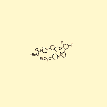 CCOC(=O)C1CCN(c2cccc(-c3cc(F)cc(F)c3OCc3ccc(C4=CCN(C(=O)OC(C)(C)C)CC4)cc3C)n2)CC1